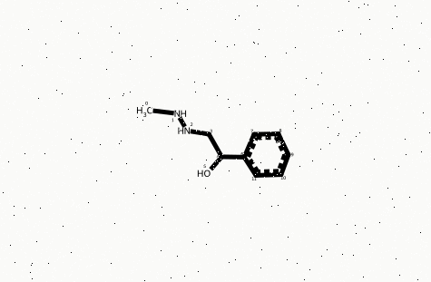 CNNCC(O)c1ccccc1